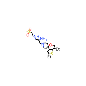 CCc1cc2c(s1)C(CC)COC21CCN(C/C(N)=C/NCCS(C)(=O)=O)CC1